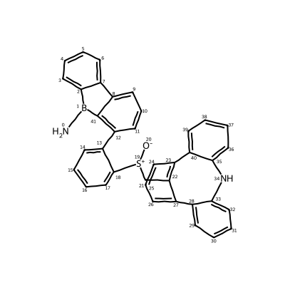 NB1c2ccccc2-c2cccc(-c3ccccc3[S+]([O-])Cc3c4cccc3-c3ccccc3Nc3ccccc3-4)c21